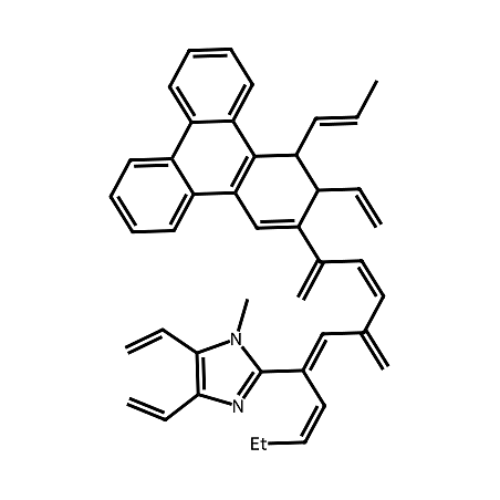 C=Cc1nc(C(/C=C\CC)=C/C(=C)/C=C\C(=C)C2=Cc3c(c4ccccc4c4ccccc34)C(C=CC)C2C=C)n(C)c1C=C